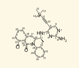 C[C@H](Nc1nc(N)ncc1C#C[Si](C)(C)C)c1cc2cccc(Cl)c2c(=O)n1-c1ccccc1